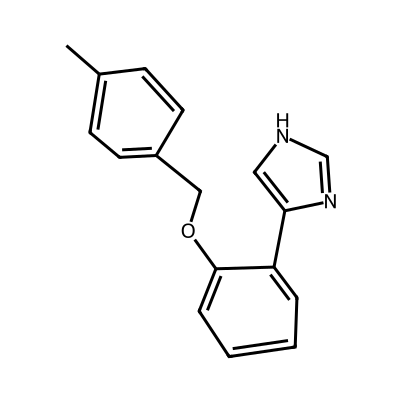 Cc1ccc(COc2ccccc2-c2c[nH]cn2)cc1